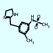 Cc1cc(CC2=NCCN2)cc(NS(C)(=O)=O)c1